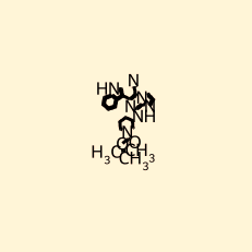 CC(C)(C)OC(=O)N1CCC[C@H](Nc2nc(-c3c[nH]c4ccccc34)c(C#N)n3ccnc23)C1